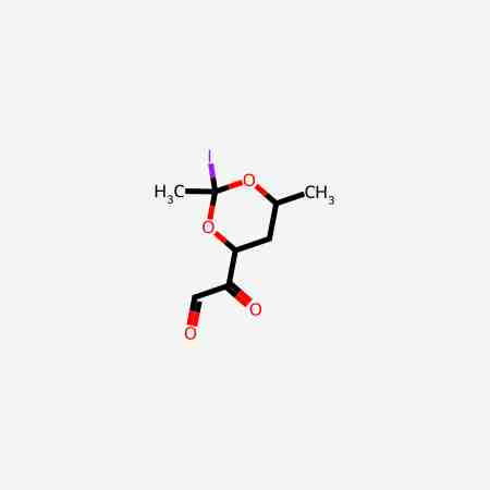 CC1CC(C(=O)C=O)OC(C)(I)O1